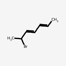 CC=CC=CC(C)Br